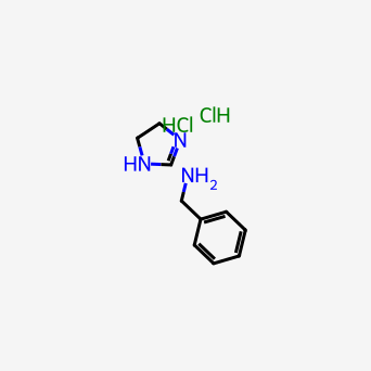 C1=NCCN1.Cl.Cl.NCc1ccccc1